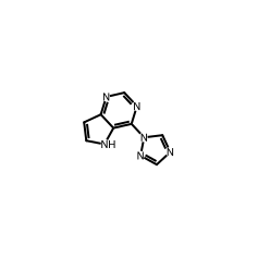 c1nc(-n2cncn2)c2[nH]ccc2n1